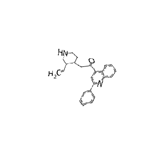 C=CC1CNCCC1CC(=O)c1cc(-c2ccccc2)nc2ccccc12